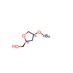 CCCCO[C@@H]1CO[C@H](CO)C1